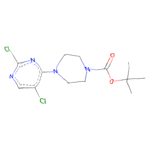 CC(C)(C)OC(=O)N1CCN(c2nc(Cl)ncc2Cl)CC1